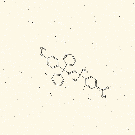 COc1ccc(C(N=NC(C)(C)c2ccc(C(=O)O)cc2)(c2ccccc2)c2ccccc2)cc1